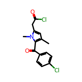 Cc1cc(CC(=O)Cl)n(C)c1C(=O)c1ccc(Cl)cc1